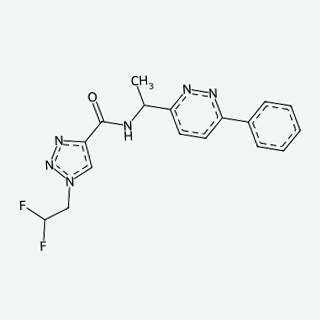 CC(NC(=O)c1cn(CC(F)F)nn1)c1ccc(-c2ccccc2)nn1